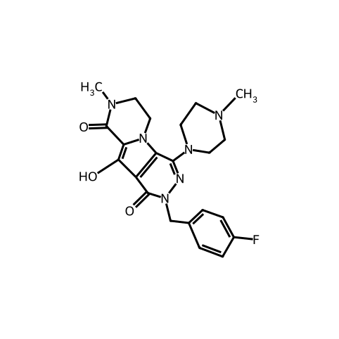 CN1CCN(c2nn(Cc3ccc(F)cc3)c(=O)c3c(O)c4n(c23)CCN(C)C4=O)CC1